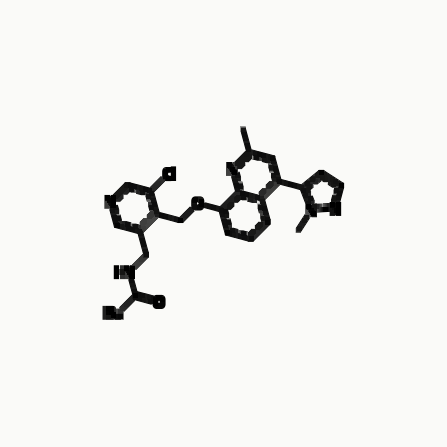 CCC(C)C(=O)NCc1cncc(Cl)c1COc1cccc2c(-c3ccnn3C)cc(C)nc12